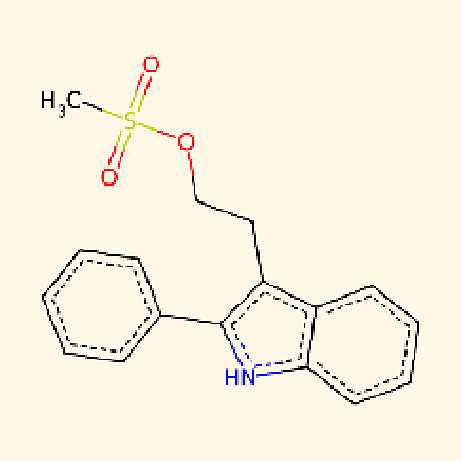 CS(=O)(=O)OCCc1c(-c2ccccc2)[nH]c2ccccc12